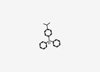 CC(C)c1ccc([SH](c2ccccc2)c2ccccc2)cc1